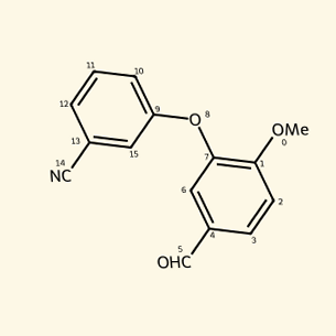 COc1ccc(C=O)cc1Oc1cccc(C#N)c1